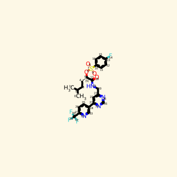 CC(C)CC[C@H](OS(=O)(=O)c1ccc(F)cc1)C(=O)NCc1cc(-c2ccc(C(F)(F)F)nc2)ncn1